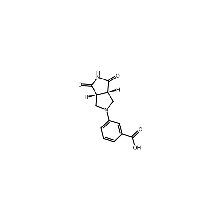 O=C(O)c1cccc(N2C[C@@H]3C(=O)NC(=O)[C@@H]3C2)c1